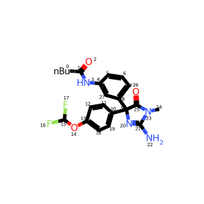 CCCCC(=O)Nc1cccc(C2(c3ccc(OC(F)F)cc3)N=C(N)N(C)C2=O)c1